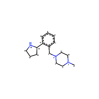 CN1CCN(Cc2ccccc2C2CCCN2)CC1